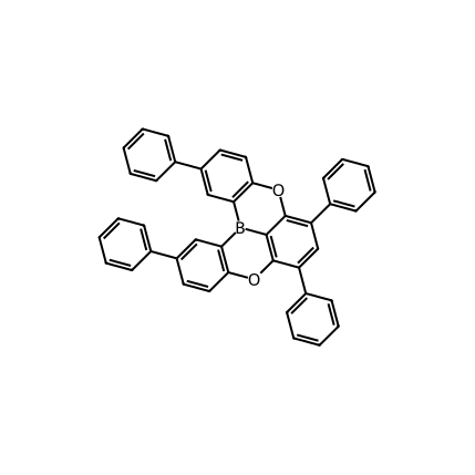 c1ccc(-c2ccc3c(c2)B2c4cc(-c5ccccc5)ccc4Oc4c(-c5ccccc5)cc(-c5ccccc5)c(c42)O3)cc1